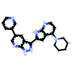 c1cncc(-c2cnc3[nH]nc(-c4cc5c(N6CCCCC6)ccnc5[nH]4)c3c2)c1